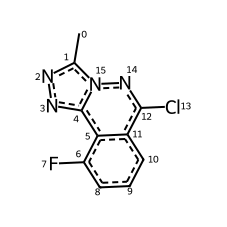 Cc1nnc2c3c(F)cccc3c(Cl)nn12